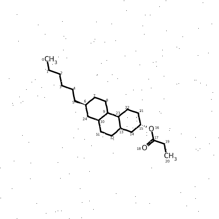 CCCCCC[C@H]1CCC2C(CCC3C[C@@H](OC(=O)CC)CCC32)C1